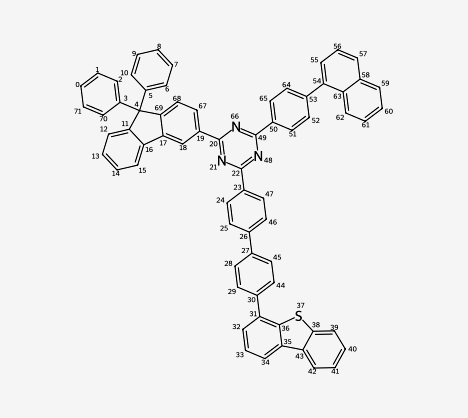 c1ccc(C2(c3ccccc3)c3ccccc3-c3cc(-c4nc(-c5ccc(-c6ccc(-c7cccc8c7sc7ccccc78)cc6)cc5)nc(-c5ccc(-c6cccc7ccccc67)cc5)n4)ccc32)cc1